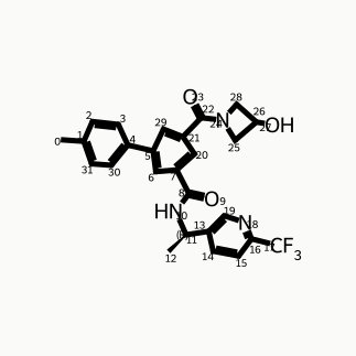 Cc1ccc(-c2cc(C(=O)N[C@H](C)c3ccc(C(F)(F)F)nc3)cc(C(=O)N3CC(O)C3)c2)cc1